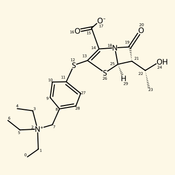 CC[N+](CC)(CC)Cc1ccc(SC2=C(C(=O)[O-])N3C(=O)[C@H]([C@@H](C)O)[C@H]3S2)cc1